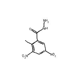 Cc1c(C(=O)NN)cc([N+](=O)[O-])cc1[N+](=O)[O-]